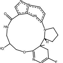 CC12CC(F)=CN=C1OCC(O)CNC(=O)c1cnn3ccc(nc13)N1CCC[C@@H]12